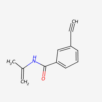 C#Cc1cccc(C(=O)NC(=C)C)c1